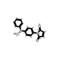 CN(c1ccccc1)c1ccc(N2C(=O)C=CC2=O)cc1